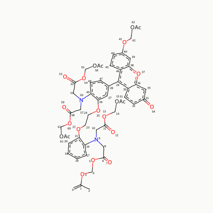 C=C(C)OCOC(=O)CN(CC(=O)OCOC(C)=O)c1ccccc1OCCOc1cc(-c2c3ccc(=O)cc-3oc3cc(OCOC(C)=O)ccc23)ccc1N(CC(=O)OCOC(C)=O)CC(=O)OCOC(C)=O